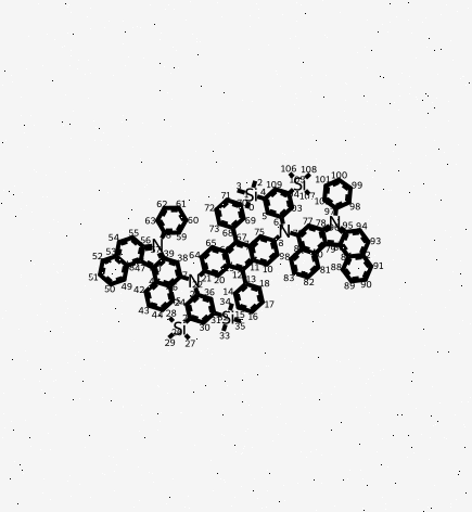 C[Si](C)(C)c1cc(N(c2ccc3c(-c4ccccc4)c4cc(N(c5cc([Si](C)(C)C)cc([Si](C)(C)C)c5)c5cc6c(c7ccccc57)c5c7ccccc7ccc5n6-c5ccccc5)ccc4c(-c4ccccc4)c3c2)c2cc3c(c4ccccc24)c2c4ccccc4ccc2n3-c2ccccc2)cc([Si](C)(C)C)c1